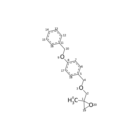 CC1(COCc2ccc(OCc3ccccc3)cc2)CO1